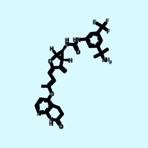 C=C1/C(=C\C=C(/C)Oc2ccnc3c2CCC(=O)N3)O[C@@H]2[C@@H](NC(=O)Nc3cc(C(C)(C)N)cc(C(F)(F)F)c3)[C@H]12